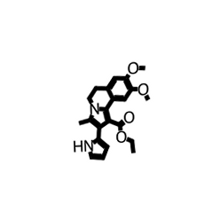 CCOC(=O)c1c(-c2ccc[nH]2)c(C)n2c1-c1cc(OC)c(OC)cc1CC2